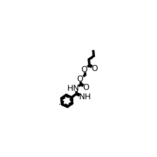 CCCC(=O)OCOC(=O)NC(=N)c1cc[c]cc1